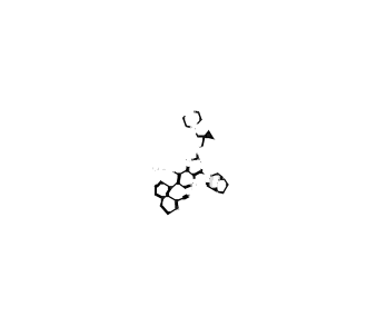 C#Cc1c(F)ccc2cc(O)cc(-c3cnc4c(N5CC6CCC(C5)N6)nc(OCC5(CN6CCOCC6)CC5)nc4c3SC)c12